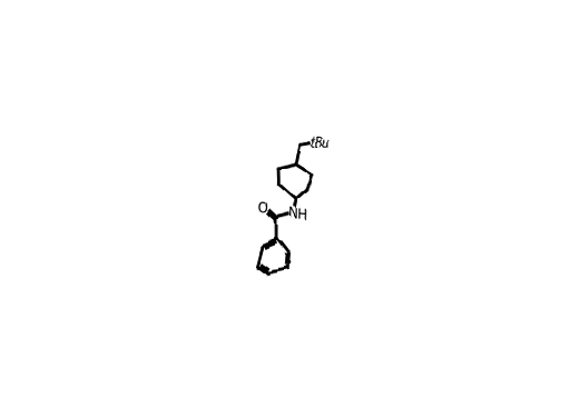 CC(C)(C)CC1CCC(NC(=O)c2ccccc2)CC1